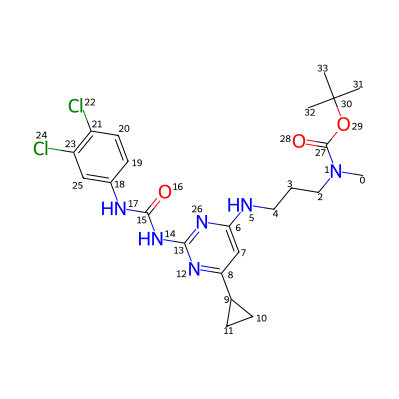 CN(CCCNc1cc(C2CC2)nc(NC(=O)Nc2ccc(Cl)c(Cl)c2)n1)C(=O)OC(C)(C)C